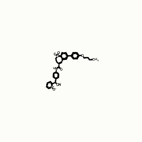 CCCCOc1ccc(-c2ccc3c(c2)C=C(C(=O)Nc2ccc(C(O)c4cccc[n+]4[O-])cc2)CCS3(=O)=O)cc1